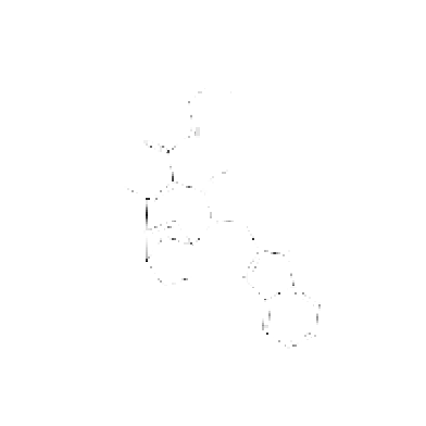 O=C(O)CNC(=O)C1=C(O)C2=CC3(CCC2C3)N(Cc2nc3ccccc3s2)C1=O